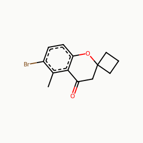 Cc1c(Br)ccc2c1C(=O)CC1(CCC1)O2